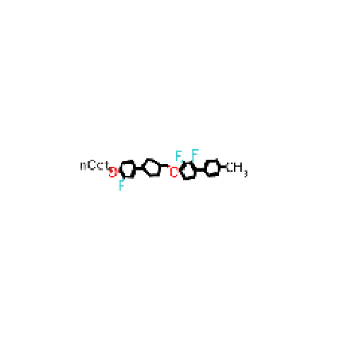 CCCCCCCCOc1ccc(C2CCC(COc3ccc(-c4ccc(C)cc4)c(F)c3F)CC2)cc1F